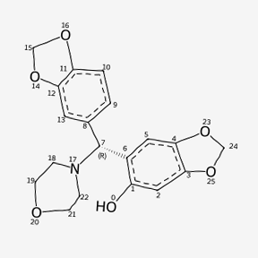 Oc1cc2c(cc1[C@@H](c1ccc3c(c1)OCO3)N1CCOCC1)OCO2